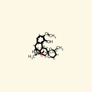 COc1ccc2c(c1O)[C@]13CCN(C)[C@H](C2)C1(O)CC[C@]1(C3)OCC[C@H](C)O1